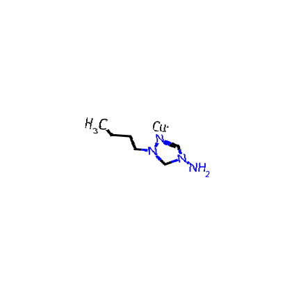 CCCCN1CN(N)C=N1.[Cu]